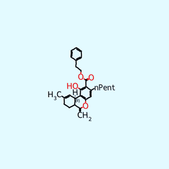 C=C1Oc2cc(CCCCC)c(C(=O)OCCc3ccccc3)c(O)c2[C@@H]2C=C(C)CCC12